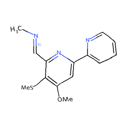 C/N=C/c1nc(-c2ccccn2)cc(OC)c1SC